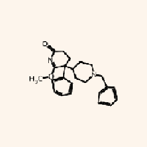 COC1=NC(=O)CCC1(c1ccccc1)C1CCN(Cc2ccccc2)CC1